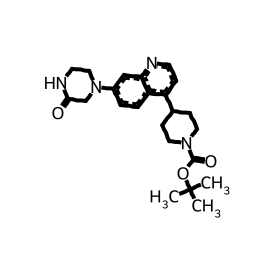 CC(C)(C)OC(=O)N1CCC(c2ccnc3cc(N4CCNC(=O)C4)ccc23)CC1